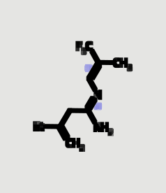 C=C(CC)C/C(N)=N\C=C(/C)C(F)(F)F